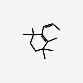 C/C=C\C1=C(C)C(C)(C)CCC1(C)C